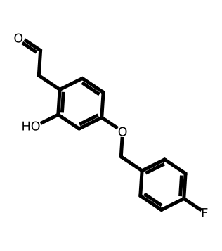 O=CCc1ccc(OCc2ccc(F)cc2)cc1O